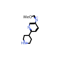 CO/C=N\c1ccc(C2CCNCC2)nc1